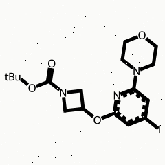 CC(C)(C)OC(=O)N1CC(Oc2cc(I)cc(N3CCOCC3)n2)C1